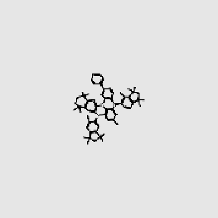 Cc1cc2c3c(c1)N(c1ccc4c(c1C)C(C)(C)CC4(C)C)c1ccc(-c4ccccc4)cc1B3c1cc3c(cc1N2c1cc2c(cc1C)C(C)(C)CC2(C)C)C(C)(C)CCC3(C)C